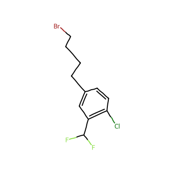 FC(F)c1cc(CCCCBr)ccc1Cl